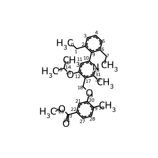 CCc1cccc(CC)c1-c1cc(OC(C)C)c(COc2cc(C(=O)OC)ccc2C)c(C)n1